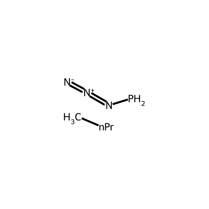 CCCC.[N-]=[N+]=NP